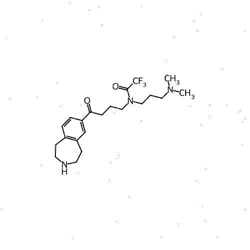 CN(C)CCCN(CCCC(=O)c1ccc2c(c1)CCNCC2)C(=O)C(F)(F)F